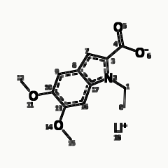 CCn1c(C(=O)[O-])cc2cc(OC)c(OC)cc21.[Li+]